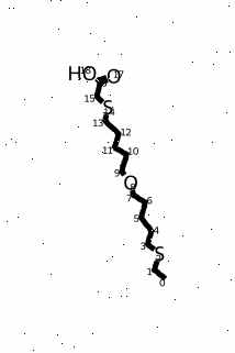 CCSCCCCCOCCCCCSCC(=O)O